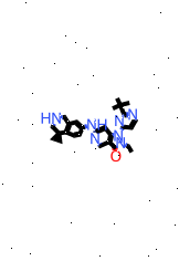 CCn1c(=O)c2cnc(Nc3ccc4c(c3)CNCC43CC3)cc2n1-c1ccnc(C(C)(C)C)n1